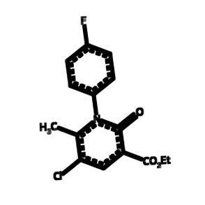 CCOC(=O)c1cc(Cl)c(C)n(-c2ccc(F)cc2)c1=O